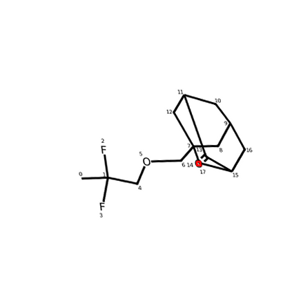 CC(F)(F)COCC12CC3CC(C1)C(=O)C(C3)C2